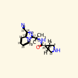 CC(C)(NC(=O)[C@H]1[C@@H]2CNC[C@@H]21)c1nc(C#N)c2ccccn12